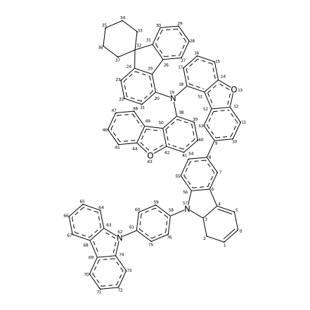 C1=CCC2C(=C1)c1cc(-c3ccc4oc5cccc(N(c6cccc7c6-c6ccccc6C76CCCCC6)c6cccc7oc8ccccc8c67)c5c4c3)ccc1N2c1ccc(-n2c3ccccc3c3ccccc32)cc1